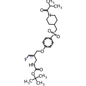 CC(C)C(=O)N1CCC(CS(=O)(=O)c2ccc(OC/C(=C/F)CNC(=O)OC(C)(C)C)cc2)CC1